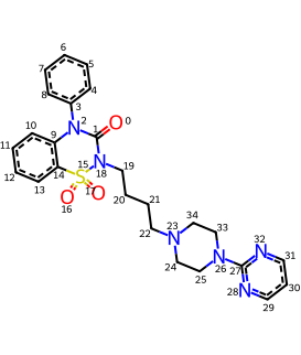 O=C1N(c2ccccc2)c2ccccc2S(=O)(=O)N1CCCCN1CCN(c2ncccn2)CC1